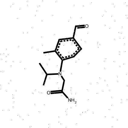 Cc1cc(C=O)ccc1N(CC(N)=O)C(C)C